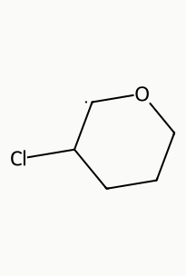 ClC1[CH]OCCC1